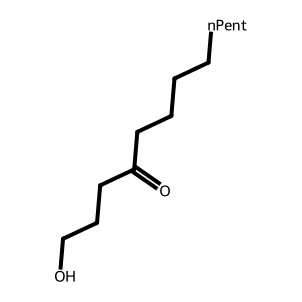 CCCCCCCCCC(=O)CCCO